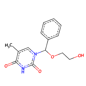 Cc1cn(C(OCCO)c2ccccc2)c(=O)[nH]c1=O